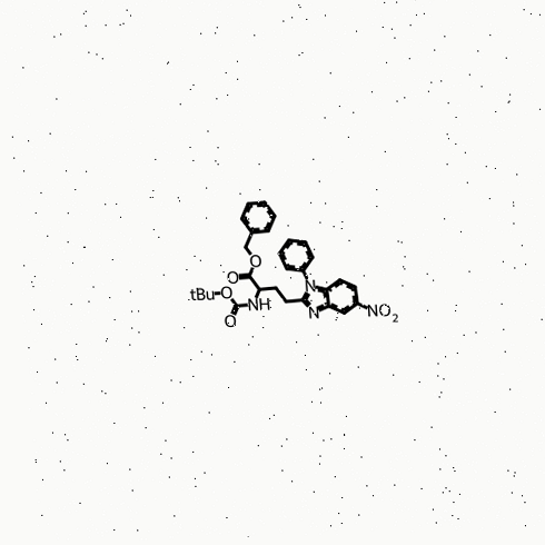 CC(C)(C)OC(=O)NC(CCc1nc2cc([N+](=O)[O-])ccc2n1-c1ccccc1)C(=O)OCc1ccccc1